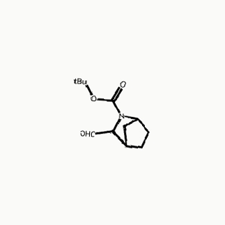 CC(C)(C)OC(=O)N1C2CCC(C2)C1C=O